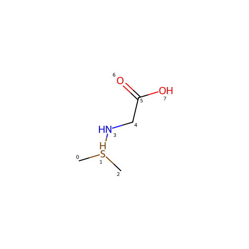 C[SH](C)NCC(=O)O